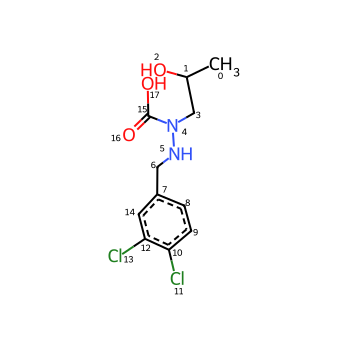 CC(O)CN(NCc1ccc(Cl)c(Cl)c1)C(=O)O